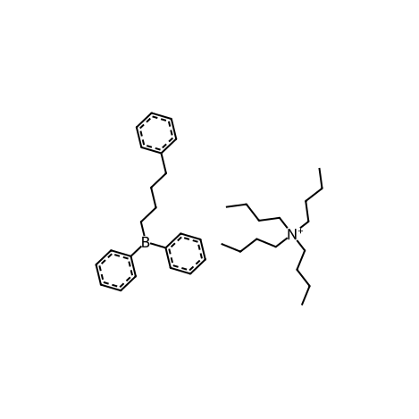 CCCC[N+](CCCC)(CCCC)CCCC.c1ccc(CCCCB(c2ccccc2)c2ccccc2)cc1